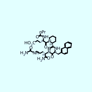 CCCC(=O)N[C@@H](CCC(=O)O)C(=O)N1CCCC[C@H]1C(=O)N[C@@H](Cc1ccc2ccccc2c1)C(=O)N[C@@H](CCCNC(N)=O)C(N)=O